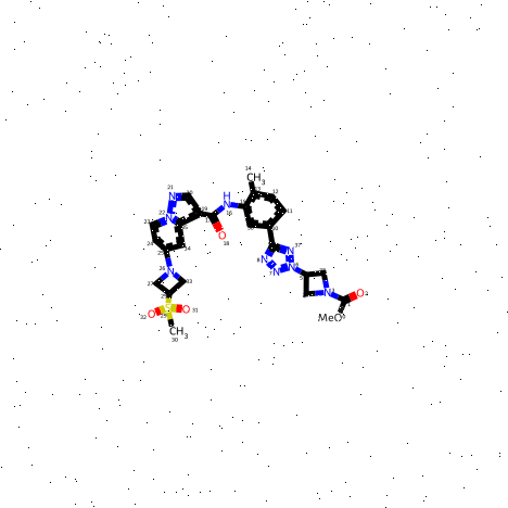 COC(=O)N1CC(n2nnc(-c3ccc(C)c(NC(=O)c4cnn5ccc(N6CC(S(C)(=O)=O)C6)cc45)c3)n2)C1